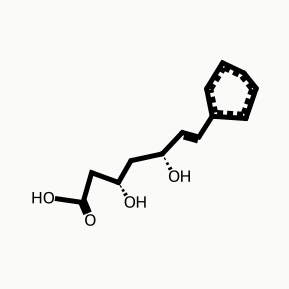 O=C(O)C[C@@H](O)C[C@@H](O)/C=C/c1ccccc1